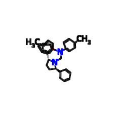 Cc1ccc(N(CN2[C@@H](c3ccccc3)CC[C@@H]2c2ccccc2)c2ccc(C)cc2)cc1